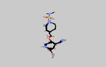 CN(C)S(=O)(=O)N1CCC(COc2cnc(Br)cc2C#N)CC1